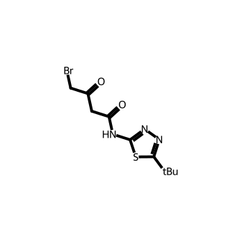 CC(C)(C)c1nnc(NC(=O)CC(=O)CBr)s1